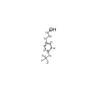 CC(C)(C)Cc1ccc(CCCO)cc1